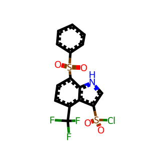 O=S(=O)(Cl)c1c[nH]c2c(S(=O)(=O)c3ccccc3)ccc(C(F)(F)F)c12